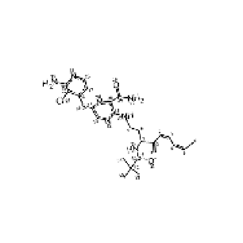 C=C(/C=C\C=C/C)[C@H](CCNc1ncc(Sc2ccnc(N)c2Cl)nc1C(N)=O)N[S@+]([O-])C(C)(C)C